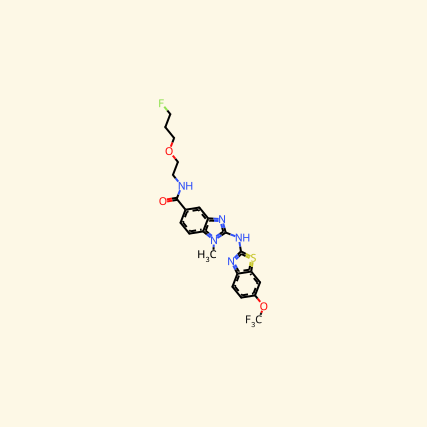 Cn1c(Nc2nc3ccc(OC(F)(F)F)cc3s2)nc2cc(C(=O)NCCOCCCF)ccc21